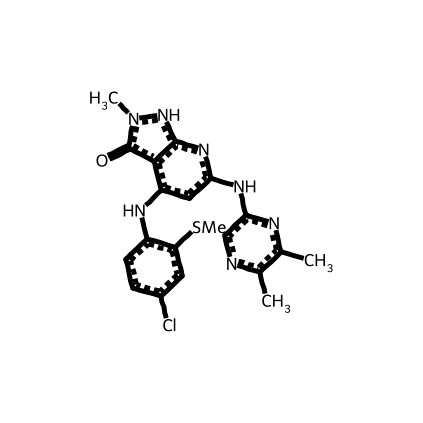 CSc1cc(Cl)ccc1Nc1cc(Nc2cnc(C)c(C)n2)nc2[nH]n(C)c(=O)c12